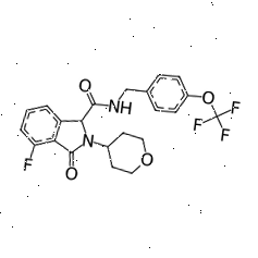 O=C(NCc1ccc(OC(F)(F)F)cc1)C1c2cccc(F)c2C(=O)N1C1CCOCC1